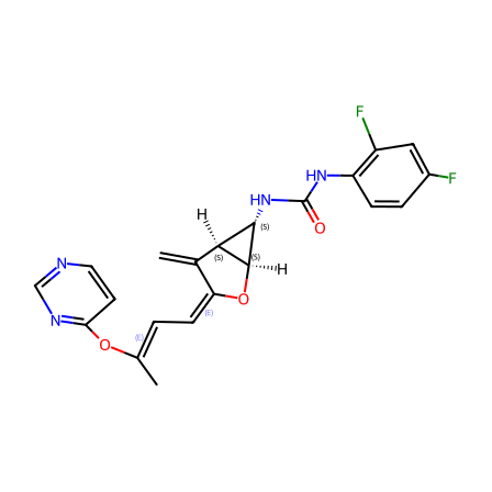 C=C1/C(=C\C=C(/C)Oc2ccncn2)O[C@@H]2[C@@H](NC(=O)Nc3ccc(F)cc3F)[C@H]12